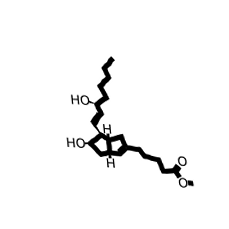 CCCCC[C@@H](O)C=C[C@H]1[C@@H]2CC(CCCCC(=O)OC)=C[C@@H]2C[C@@H]1O